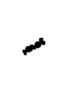 CN(C)c1ccc(N=Nc2ccc(C(=O)Cl)cc2)cc1